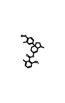 COc1ccc(C23CCC(OC(=O)c4c(C)cccc4[N+](=O)[O-])=CC2N(C)CC3)cc1C